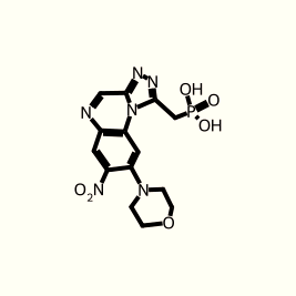 O=[N+]([O-])c1cc2ncc3nnc(CP(=O)(O)O)n3c2cc1N1CCOCC1